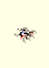 CO[Si](C)(C)CCCN(CC(C)C(=O)O[Si](C)(C)C)[Si](C)(C)C